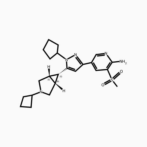 CS(=O)(=O)c1cc(-c2cc([C@@H]3[C@@H]4CN(C5CCC5)C[C@@H]43)n(C3CCCC3)n2)cnc1N